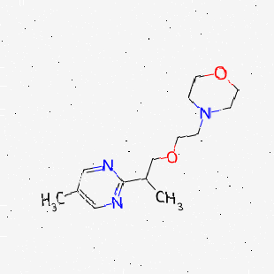 Cc1cnc(C(C)COCCN2CCOCC2)nc1